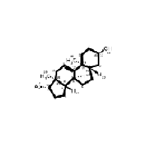 CC(=O)[C@H]1CC[C@H]2[C@@H]3CC[C@H]4C[C@H](O)CC[C@]4(C)C3=CC[C@]12C